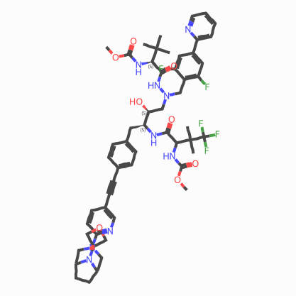 COC(=O)NC(C(=O)N[C@@H](Cc1ccc(C#Cc2ccc(N3CC4CCC(C3)N4C3COC3)nc2)cc1)[C@@H](O)CN(Cc1c(F)cc(-c2ccccn2)cc1F)NC(=O)[C@@H](NC(=O)OC)C(C)(C)C)C(C)(C)C(F)(F)F